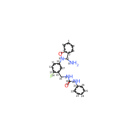 NC1c2ccccc2ON1c1ccc(F)c(CNC(=O)Nc2ccccc2)c1